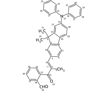 C/C(=C\c1ccc2c(c1)C(C)(C)c1cc(N(c3ccccc3)c3ccccc3)ccc1-2)C(=O)c1ccccc1C=O